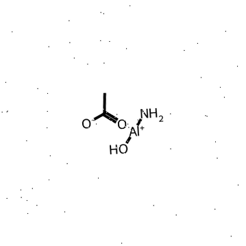 CC(=O)[O-].[NH2][Al+][OH]